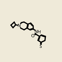 O=C(Nc1ccc2c(c1)CCN(C1CCC1)CC2)C1=CC(=S)CC=C1